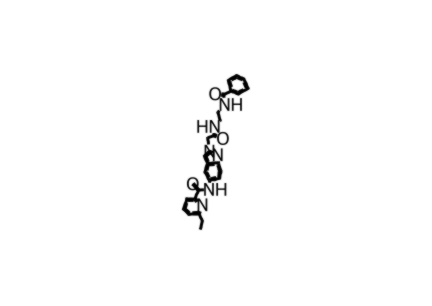 CCc1cccc(C(=O)Nc2ccc3nn(CC(=O)NCCNC(=O)c4ccccc4)cc3c2)n1